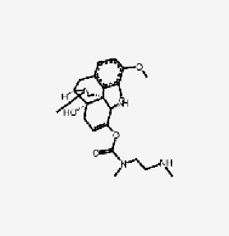 CNCCN(C)C(=O)OC1=CC[C@@]2(O)[C@H]3Cc4ccc(OC)c5c4[C@@]2(CCN3C)[C@H]1O5